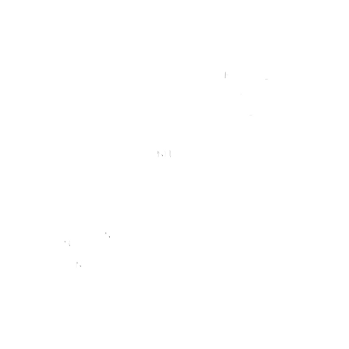 FC(F)(F)c1ccc(Nc2ccccc2-c2ccn3cnnc3c2)cc1